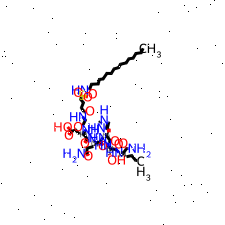 CCCCCCCCCCCCCCCC(=O)NS(=O)(=O)CCCC(=O)NCC(=O)N[C@@H](CCC(=O)O)C(=O)N[C@@H](CCC(N)=O)C(=O)N[C@@H](Cc1c[nH]cn1)C(=O)N[C@@H](CO)C(=O)N[C@@H](CCCC)C(N)=O